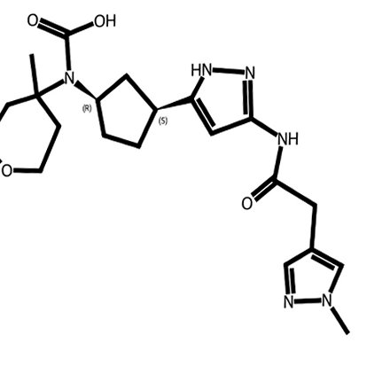 Cn1cc(CC(=O)Nc2cc([C@H]3CC[C@@H](N(C(=O)O)C4(C)CCOCC4)C3)[nH]n2)cn1